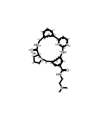 CN(C)CCNC(=O)c1cc2cc(c1)Nc1nccc(n1)-c1cccc(c1)CNC(=O)[C@@H]1CCCN1C2